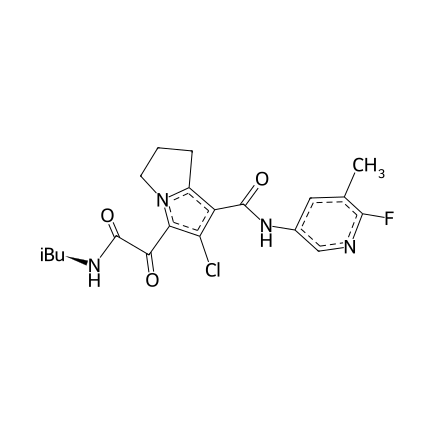 CC[C@H](C)NC(=O)C(=O)c1c(Cl)c(C(=O)Nc2cnc(F)c(C)c2)c2n1CCC2